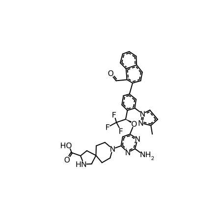 Cc1ccn(-c2cc(-c3ccc4ccccc4c3C=O)ccc2[C@@H](Oc2cc(N3CCC4(CC3)CNC(C(=O)O)C4)nc(N)n2)C(F)(F)F)n1